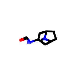 CN1C2CCC1CC(NC=O)C2